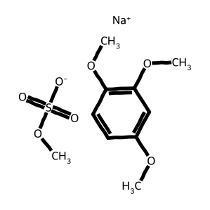 COS(=O)(=O)[O-].COc1ccc(OC)c(OC)c1.[Na+]